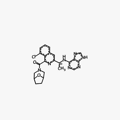 C[C@H](Nc1ncnc2[nH]cnc12)c1cc2cccc(Cl)c2c(C(=O)N2CC3CCC(C2)O3)n1